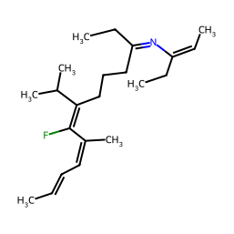 C/C=C(CC)\N=C(\CC)CCC\C(=C(F)/C(C)=C\C=C\C)C(C)C